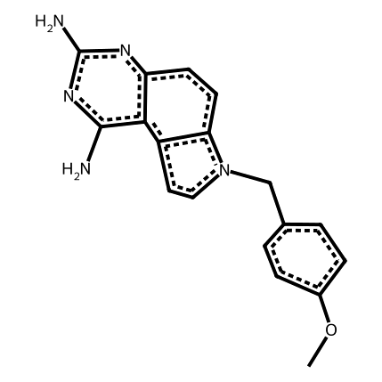 COc1ccc(Cn2ccc3c4c(N)nc(N)nc4ccc32)cc1